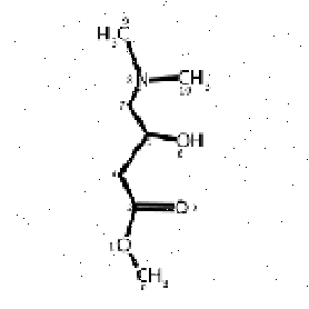 COC(=O)CC(O)CN(C)C